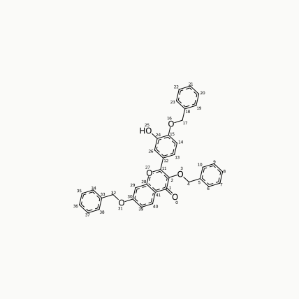 O=c1c(OCc2ccccc2)c(-c2ccc(OCc3ccccc3)c(O)c2)oc2cc(OCc3ccccc3)ccc12